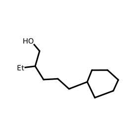 CCC(CO)CCCC1CCCCC1